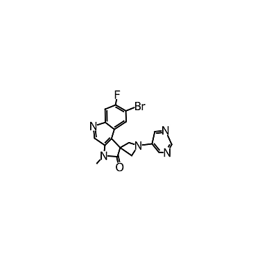 CN1C(=O)C2(CN(c3cncnc3)C2)c2c1cnc1cc(F)c(Br)cc21